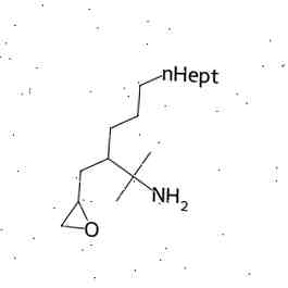 CCCCCCCCCCC(CC1CO1)C(C)(C)N